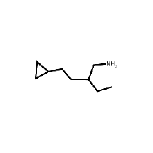 CCC(CN)CCC1CC1